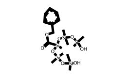 C[Si](C)(O)O[Si](C)(C)O[Si](C)(O[Si](C)(C)O[Si](C)(C)O)C(=O)OCc1ccccc1